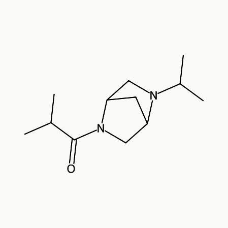 CC(C)C(=O)N1CC2CC1CN2C(C)C